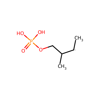 C[CH]C(C)COP(=O)(O)O